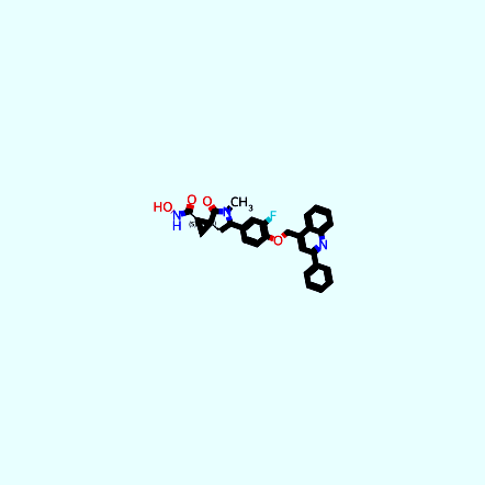 CN1C(=O)[C@@]2(CC1c1ccc(OCc3cc(-c4ccccc4)nc4ccccc34)c(F)c1)C[C@@H]2C(=O)NO